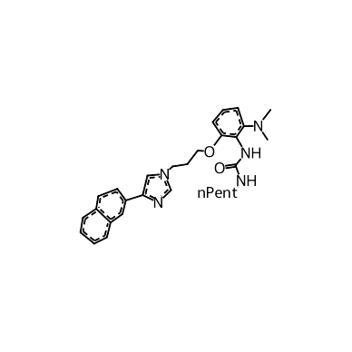 CCCCCNC(=O)Nc1c(OCCCn2cnc(-c3ccc4ccccc4c3)c2)cccc1N(C)C